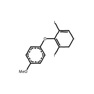 COc1ccc(OC2=C(I)C[CH]C=C2I)cc1